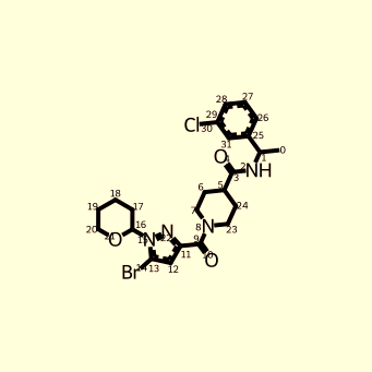 CC(NC(=O)C1CCN(C(=O)c2cc(Br)n(C3CCCCO3)n2)CC1)c1cccc(Cl)c1